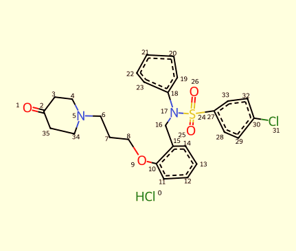 Cl.O=C1CCN(CCCOc2ccccc2CN(c2ccccc2)S(=O)(=O)c2ccc(Cl)cc2)CC1